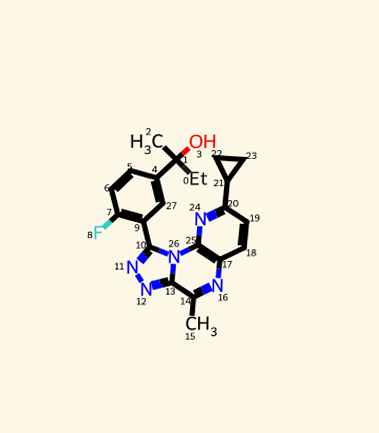 CCC(C)(O)c1ccc(F)c(-c2nnc3c(C)nc4ccc(C5CC5)nc4n23)c1